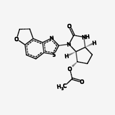 CC(=O)O[C@H]1CC[C@@H]2NC(=O)N(c3nc4c5c(ccc4s3)OCC5)[C@@H]21